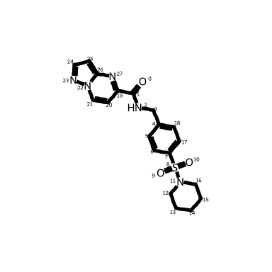 O=C(NCc1ccc(S(=O)(=O)N2CCCCC2)cc1)c1ccn2nccc2n1